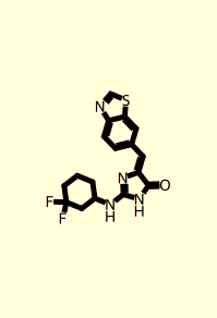 O=C1NC(NC2CCCC(F)(F)C2)=N/C1=C\c1ccc2ncsc2c1